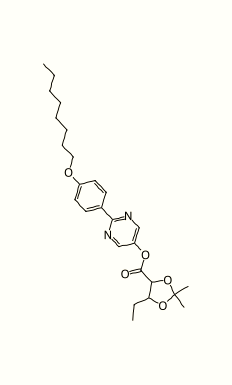 CCCCCCCCOc1ccc(-c2ncc(OC(=O)C3OC(C)(C)OC3CC)cn2)cc1